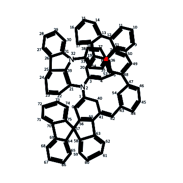 C1=C(N(c2ccc3c4ccccc4c4ccccc4c3c2)c2cccc3c4ccccc4n(-c4ccccc4)c23)C/C(=C\c2cccc(-c3ccccc3)c2)C2=C1C1(c3ccccc32)c2ccccc2-c2ccccc21